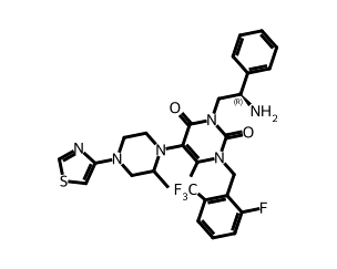 Cc1c(N2CCN(c3cscn3)CC2C)c(=O)n(C[C@H](N)c2ccccc2)c(=O)n1Cc1c(F)cccc1C(F)(F)F